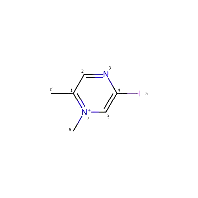 Cc1cnc(I)c[n+]1C